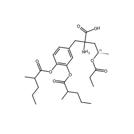 CCCC(C)C(=O)Oc1ccc(CC(N)(C[C@H](C)OC(=O)CC)C(=O)O)cc1OC(=O)C(C)CCC